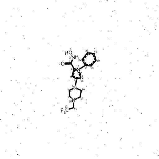 O=C(NO)c1cc(N2CCN(CC(F)(F)F)CC2)nn1-c1ccccc1